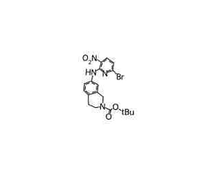 CC(C)(C)OC(=O)N1CCc2ccc(Nc3nc(Br)ccc3[N+](=O)[O-])cc2C1